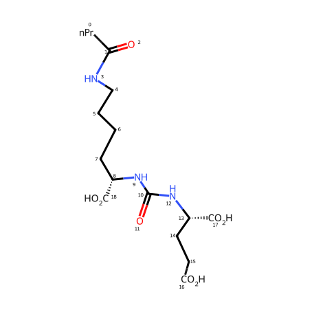 CCCC(=O)NCCCC[C@H](NC(=O)N[C@@H](CCC(=O)O)C(=O)O)C(=O)O